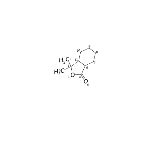 CC1(C)OC(=O)C2CCCCC21